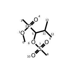 COP(C)(=O)C(OS(C)(=O)=O)C(C)C